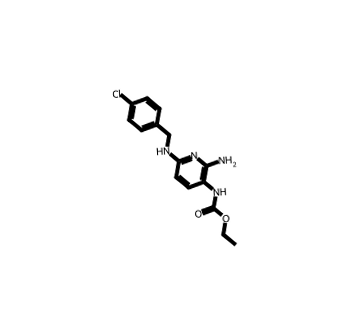 CCOC(=O)Nc1ccc(NCc2ccc(Cl)cc2)nc1N